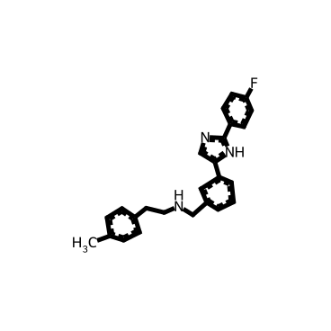 Cc1ccc(CCNCc2cccc(-c3cnc(-c4ccc(F)cc4)[nH]3)c2)cc1